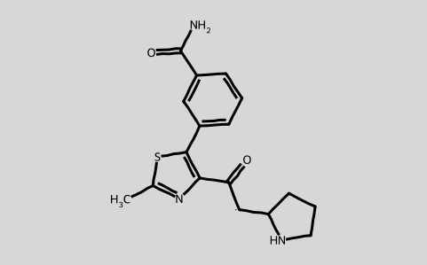 Cc1nc(C(=O)[CH]C2CCCN2)c(-c2cccc(C(N)=O)c2)s1